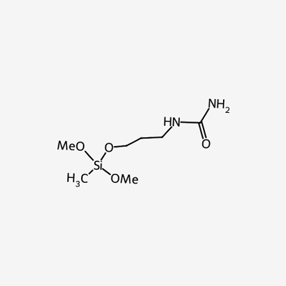 CO[Si](C)(OC)OCCCNC(N)=O